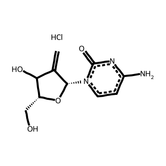 C=C1C(O)[C@@H](CO)O[C@H]1n1ccc(N)nc1=O.Cl